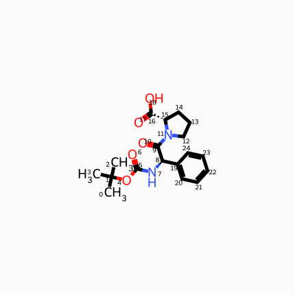 CC(C)(C)OC(=O)N[C@@H](C(=O)N1CCC[C@H]1C(=O)O)c1ccccc1